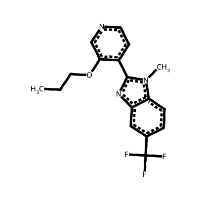 CCCOc1cnccc1-c1nc2cc(C(F)(F)F)ccc2n1C